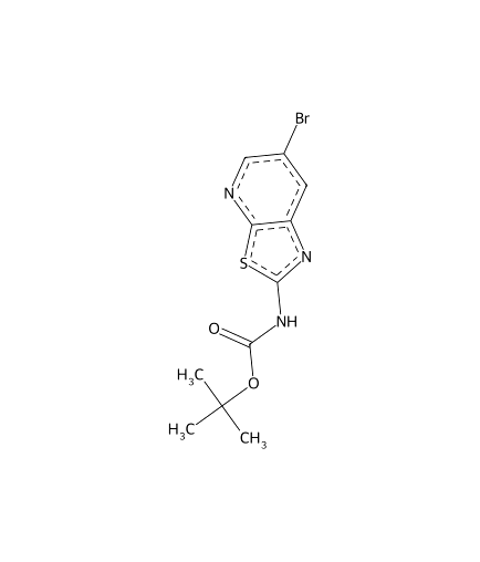 CC(C)(C)OC(=O)Nc1nc2cc(Br)cnc2s1